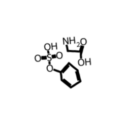 NCC(=O)O.O=S(=O)(O)Oc1ccccc1